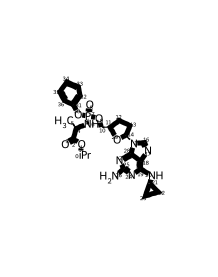 CC(C)OC(=O)[C@H](C)N[P@@](=O)(OC[C@@H]1CC[C@H](n2cnc3c(NC4CC4)nc(N)nc32)O1)Oc1ccccc1